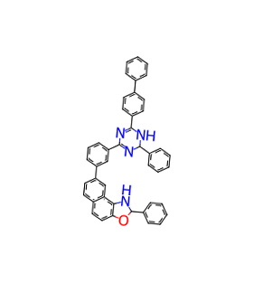 c1ccc(-c2ccc(C3=NC(c4cccc(-c5ccc6ccc7c(c6c5)NC(c5ccccc5)O7)c4)=NC(c4ccccc4)N3)cc2)cc1